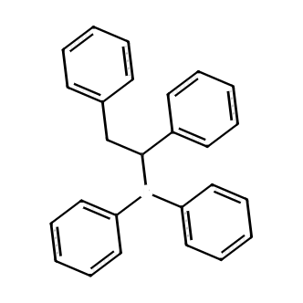 c1ccc(CC(c2ccccc2)P(c2ccccc2)c2ccccc2)cc1